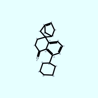 O=C1CCC2(CC3=CCC2C3)c2cccc(C3CCCCC3)c21